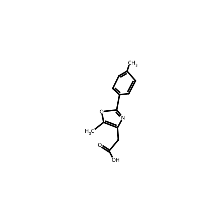 Cc1ccc(-c2nc(CC(=O)O)c(C)o2)cc1